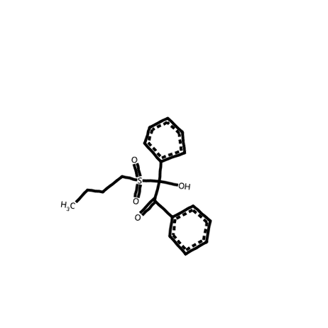 CCCCS(=O)(=O)C(O)(C(=O)c1ccccc1)c1ccccc1